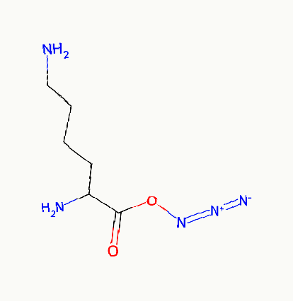 [N-]=[N+]=NOC(=O)C(N)CCCCN